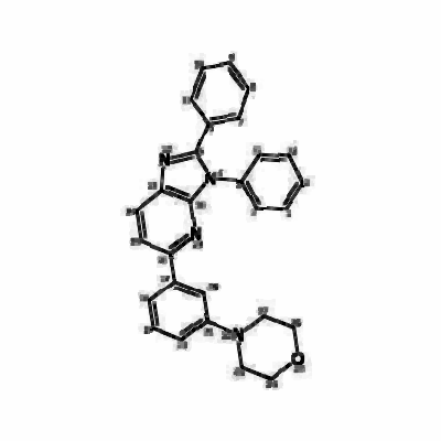 [c]1ccc(-n2c(-c3ccccc3)nc3ccc(-c4cccc(N5CCOCC5)c4)nc32)cc1